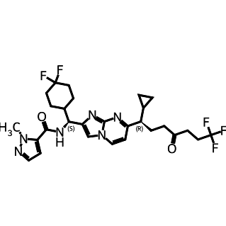 Cn1nccc1C(=O)N[C@H](c1cn2ccc([C@H](CCC(=O)CCC(F)(F)F)C3CC3)nc2n1)C1CCC(F)(F)CC1